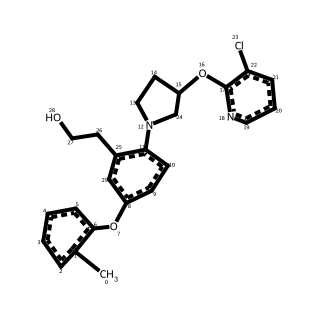 Cc1ccccc1Oc1ccc(N2CCC(Oc3ncccc3Cl)C2)c(CCO)c1